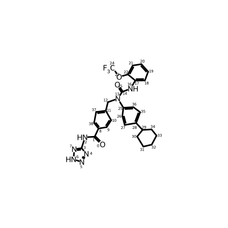 O=C(Nc1nn[nH]n1)c1ccc(CN(C(=O)Nc2ccccc2OC(F)(F)F)c2ccc(C3CCCCC3)cc2)cc1